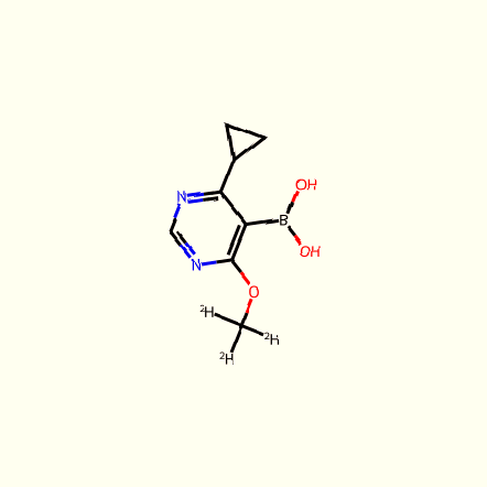 [2H]C([2H])([2H])Oc1ncnc(C2CC2)c1B(O)O